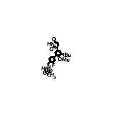 COc1c(-c2ccc(/C=N/NS(C)(=O)=O)c(F)c2)cc(-n2ccc(=O)[nH]c2=O)cc1C(C)(C)C